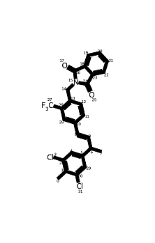 Cc1c(Cl)cc(C(C)/C=C/c2ccc(CN3C(=O)c4ccccc4C3=O)c(C(F)(F)F)c2)cc1Cl